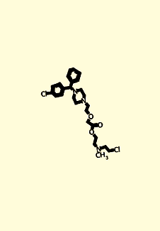 CN(CCCl)CCOC(=O)COCCN1CCN(C(c2ccccc2)c2ccc(Cl)cc2)CC1